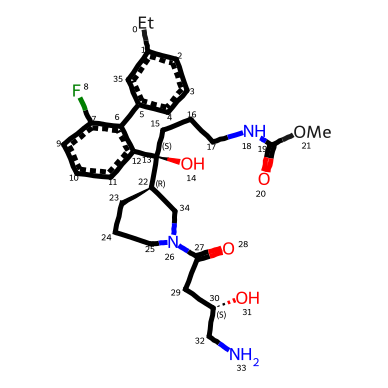 CCc1cccc(-c2c(F)cccc2[C@](O)(CCCNC(=O)OC)[C@@H]2CCCN(C(=O)C[C@H](O)CN)C2)c1